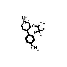 Cc1ccc(C2CCN(N)CC2)cc1.O=C(O)C(F)(F)F